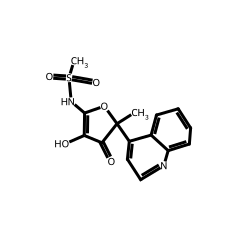 CC1(c2ccnc3ccccc23)OC(NS(C)(=O)=O)=C(O)C1=O